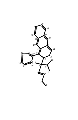 CCC=CC(C)(C(C)C)C1CC=c2cc3ccccc3cc2=C1c1ccccn1